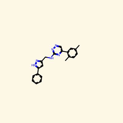 Cc1ccc(C)c(-c2cnnc(NCc3cc(-c4ccccc4)[nH]n3)n2)c1